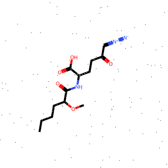 CCCCC(OC)C(=O)NC(CCC(=O)C=[N+]=[N-])C(=O)O